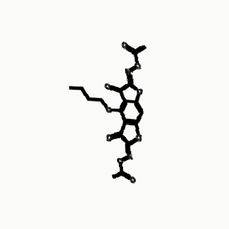 CCCCOc1c2c(=O)c(=NOC(C)=O)oc2cc2oc(=NOC(C)=O)c(=O)c12